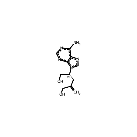 C=C(CO)C[C@H](CO)n1cnc2c(N)ncnc21